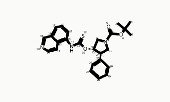 CC(C)(C)OC(=O)N1C[C@@H](OC(=S)Nc2cccc3cnccc23)[C@H](c2ccccc2)C1